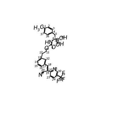 Cc1ccc(C[C@H](NC(=O)OCCc2cccc(C=C(C#N)c3ccc(C(F)(F)F)cn3)c2)B(O)O)cc1